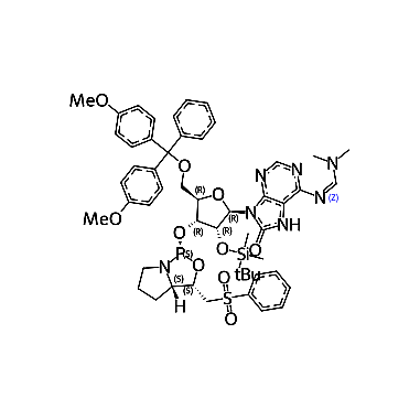 COc1ccc(C(OC[C@H]2O[C@@H](n3c(=O)[nH]c4c(/N=C\N(C)C)ncnc43)[C@H](O[Si](C)(C)C(C)(C)C)[C@@H]2O[P@]2O[C@H](CS(=O)(=O)c3ccccc3)[C@@H]3CCCN32)(c2ccccc2)c2ccc(OC)cc2)cc1